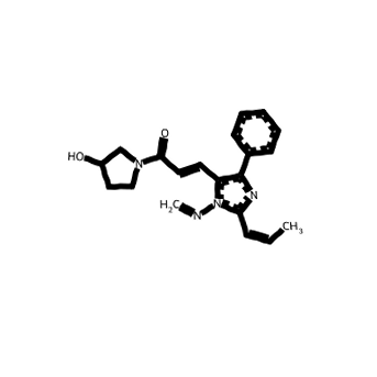 C=Nn1c(/C=C\C)nc(-c2ccccc2)c1/C=C/C(=O)N1CCC(O)C1